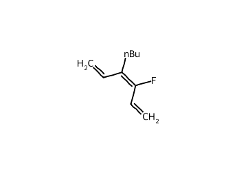 C=C/C(F)=C(\C=C)CCCC